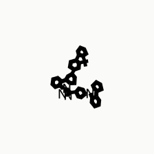 CC1(C)c2ccccc2-c2ccc(-c3ccc4c(c3)c3ccccc3c3nnc(-c5ccc(-n6c7ccccc7c7ccccc76)cc5)n43)cc21